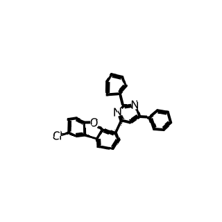 Clc1ccc2oc3c(-c4cc(-c5ccccc5)nc(-c5ccccc5)n4)cccc3c2c1